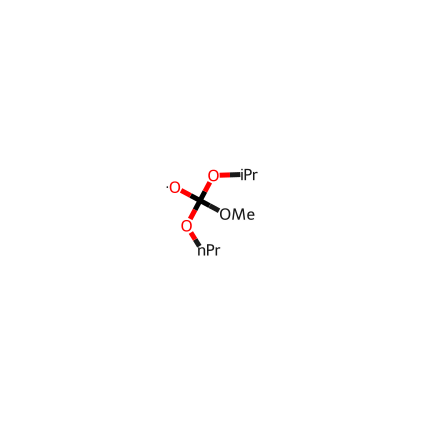 CCCOC([O])(OC)OC(C)C